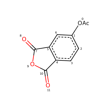 CC(=O)Oc1ccc2c(c1)C(=O)OC2=O